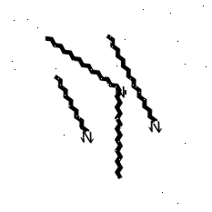 CCCCCCCCCCCCCCCCCCN(C)C.CCCCCCCCCCCCCCCCN(C)CCCCCCCCCCCCCCCC.CCCCCCCCCCCCN(C)C